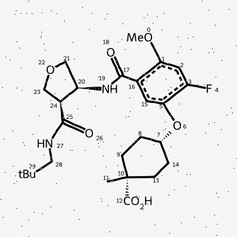 COc1cc(F)c(O[C@H]2CC[C@@](C)(C(=O)O)CC2)cc1C(=O)N[C@@H]1COC[C@@H]1C(=O)NCC(C)(C)C